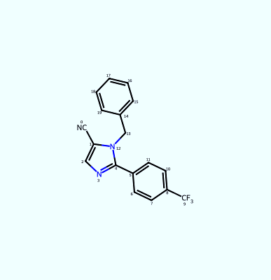 N#Cc1cnc(-c2ccc(C(F)(F)F)cc2)n1Cc1ccccc1